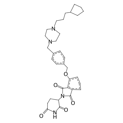 O=C1CCC(N2C(=O)c3cccc(OCc4ccc(CN5CCN(CCCC6CCCC6)CC5)cc4)c3C2=O)C(=O)N1